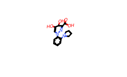 O=C(O)C1=NN(c2ccccc2N2CCCC2)C=C(O)C1O